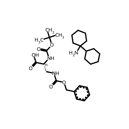 CC(C)(C)OC(=O)N[C@H](CNC(=O)OCc1ccccc1)C(=O)O.NC1(C2CCCCC2)CCCCC1